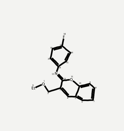 CCOCc1cc2ccccc2oc1=Nc1ccc(F)cc1